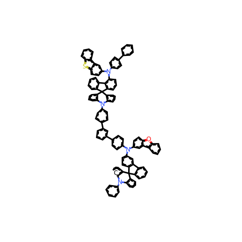 c1ccc(-c2ccc(N(c3ccc4sc5ccccc5c4c3)c3cccc4c3-c3ccccc3C43c4ccccc4N(c4ccc(-c5cccc(-c6ccc(N(c7ccc8c(c7)-c7ccccc7C87c8ccccc8N(c8ccccc8)c8ccccc87)c7ccc8oc9ccccc9c8c7)cc6)c5)cc4)c4ccccc43)cc2)cc1